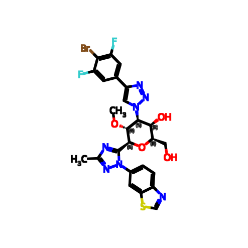 CO[C@@H]1[C@@H](n2cc(-c3cc(F)c(Br)c(F)c3)nn2)[C@@H](O)[C@@H](CO)O[C@H]1c1nc(C)nn1-c1ccc2ncsc2c1